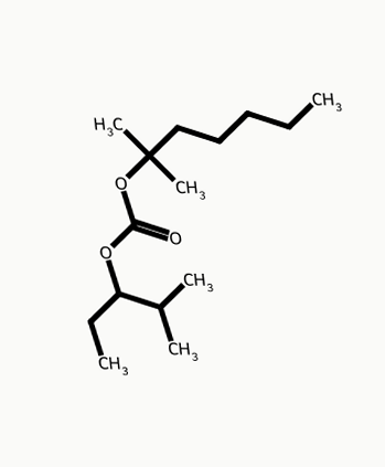 CCCCCC(C)(C)OC(=O)OC(CC)C(C)C